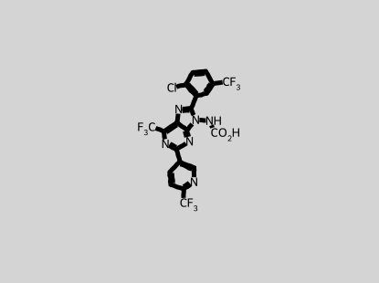 O=C(O)Nn1c(-c2cc(C(F)(F)F)ccc2Cl)nc2c(C(F)(F)F)nc(-c3ccc(C(F)(F)F)nc3)nc21